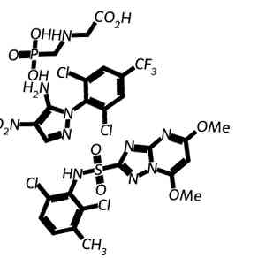 COc1cc(OC)n2nc(S(=O)(=O)Nc3c(Cl)ccc(C)c3Cl)nc2n1.Nc1c([N+](=O)[O-])cnn1-c1c(Cl)cc(C(F)(F)F)cc1Cl.O=C(O)CNCP(=O)(O)O